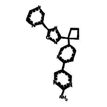 Nc1ncc(-c2ccc(C3(c4noc(-c5cnccn5)n4)CCC3)cn2)cn1